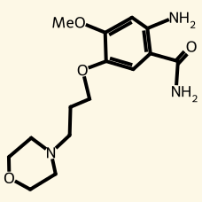 COc1cc(N)c(C(N)=O)cc1OCCCN1CCOCC1